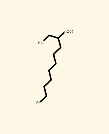 CCCCCCCCC(CO)CCCCCCCC(C)C